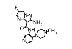 CN1CCN(c2ccncc2NC(=O)c2c(N)nn3cc(F)cnc23)CC1